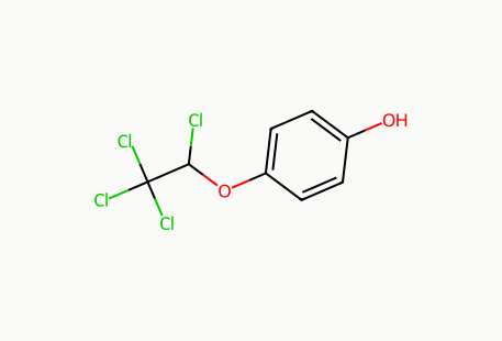 Oc1ccc(OC(Cl)C(Cl)(Cl)Cl)cc1